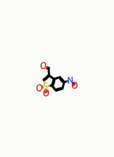 O=CC1=CS(=O)(=O)c2ccc(N=O)cc21